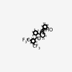 O=CC1CC2(c3ccccc3)C(OCc3cc(C(F)(F)F)cc(C(F)(F)F)c3)CCC1N2Cc1ccccc1